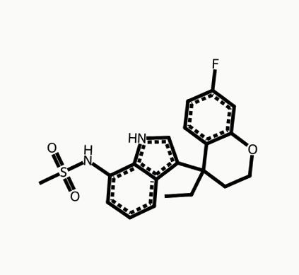 CCC1(c2c[nH]c3c(NS(C)(=O)=O)cccc23)CCOc2cc(F)ccc21